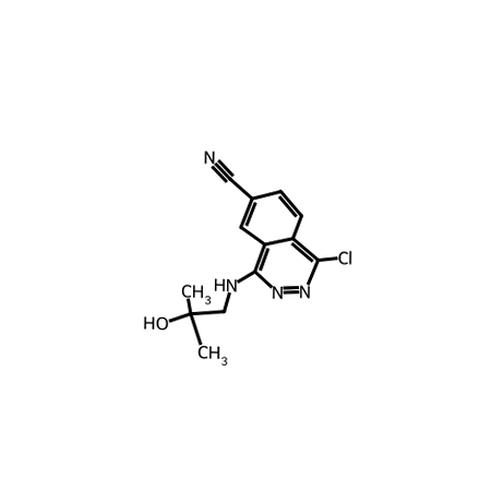 CC(C)(O)CNc1nnc(Cl)c2ccc(C#N)cc12